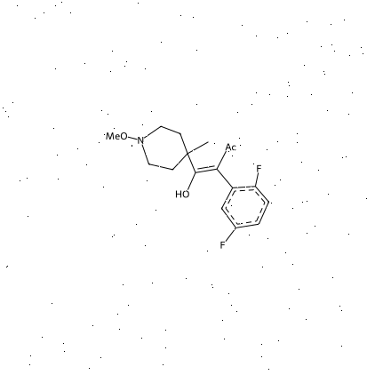 CON1CCC(C)(/C(O)=C(\C(C)=O)c2cc(F)ccc2F)CC1